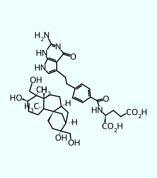 C[C@@]1(CO)[C@H](O)CC[C@@]2(C)[C@H]1CC[C@H]1C[C@@H]3C[C@@]12CC[C@]3(O)CO.Nc1nc(=O)c2c(CCc3ccc(C(=O)N[C@@H](CCC(=O)O)C(=O)O)cc3)c[nH]c2[nH]1